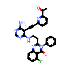 CC(=O)c1cccc(C#Cc2c(N)ncnc2NCCc2nc3cccc(Cl)c3c(=O)n2-c2ccccc2)n1